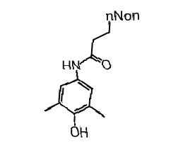 CCCCCCCCCCCC(=O)Nc1cc(C)c(O)c(C)c1